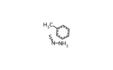 Cc1ccccc1.NN=S